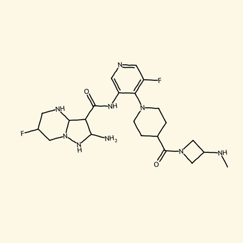 CNC1CN(C(=O)C2CCN(c3c(F)cncc3NC(=O)C3C(N)NN4CC(F)CNC34)CC2)C1